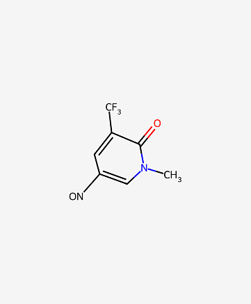 Cn1cc(N=O)cc(C(F)(F)F)c1=O